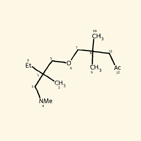 CCC(C)(CNC)COCC(C)(C)CC(C)=O